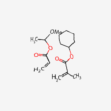 C=C(C)C(=O)OC1CCCCC1.C=CC(=O)OC(C)OC